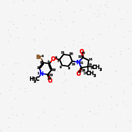 Cn1cc(Br)c(OC2CCC(N3C(=O)CC(C)(C)C3=O)CC2)cc1=O